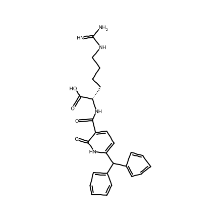 N=C(N)NCCCC[C@H](NC(=O)c1ccc(C(c2ccccc2)c2ccccc2)[nH]c1=O)C(=O)O